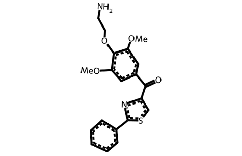 COc1cc(C(=O)c2csc(-c3ccccc3)n2)cc(OC)c1OCCN